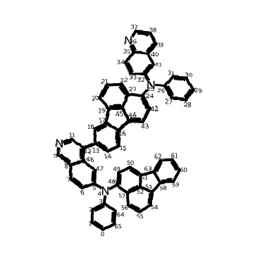 c1ccc(N(c2ccc3cncc(-c4ccc5c(c4)-c4cccc6c(N(c7ccccc7)c7ccc8ncccc8c7)ccc-5c46)c3c2)c2ccc3c4c(cccc24)-c2ccccc2-3)cc1